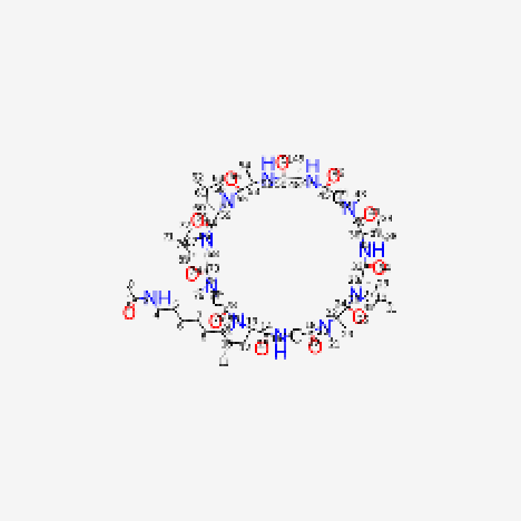 CC(=O)NCCCCCC[C@@H](C)CC1C(=O)NCC(=O)N(C)C(C)C(=O)N(C)[C@@H](CC(C)C)C(=O)NC(C(C)C)C(=O)N(C)CC(=O)N[C@@H](C)C(=O)N[C@H](C)C(=O)N(C)[C@@H](CC(C)C)C(=O)N(C)[C@@H](CC(C)C)C(=O)N(C)CC(=O)N1C